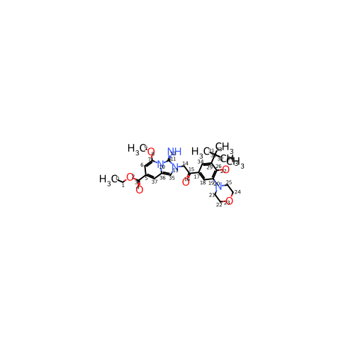 CCOC(=O)c1cc(OC)n2c(=N)n(CC(=O)c3cc(N4CCOCC4)c(OC)c(C(C)(C)C)c3)cc2c1